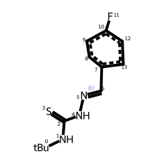 CC(C)(C)NC(=S)N/N=C/c1ccc(F)cc1